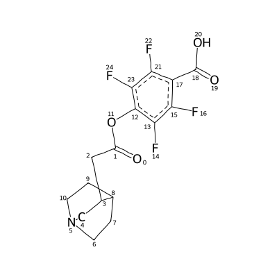 O=C(CC1CN2CCC1CC2)Oc1c(F)c(F)c(C(=O)O)c(F)c1F